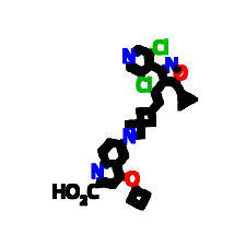 O=C(O)c1cc(OC2CCC2)c2cc(N3CC4(CC(/C=C/c5c(-c6c(Cl)cncc6Cl)noc5C5CC5)C4)C3)ccc2n1